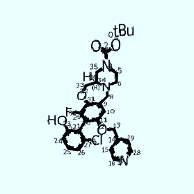 CC(C)(C)OC(=O)N1CCN2Cc3cc(OCc4ccncc4)c(-c4c(O)cccc4Cl)c(F)c3OC[C@H]2C1